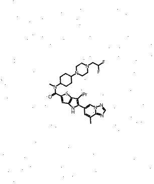 Cc1cc(-c2[nH]c3cc(C(=O)N(C)C4CCC(N5CCN(CC(F)F)CC5)CC4)sc3c2C(C)C)cn2ncnc12